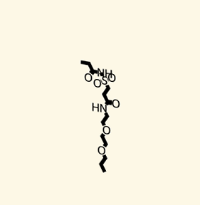 CCCOCCOCCNC(=O)CCS(=O)(=O)NC(=O)CC